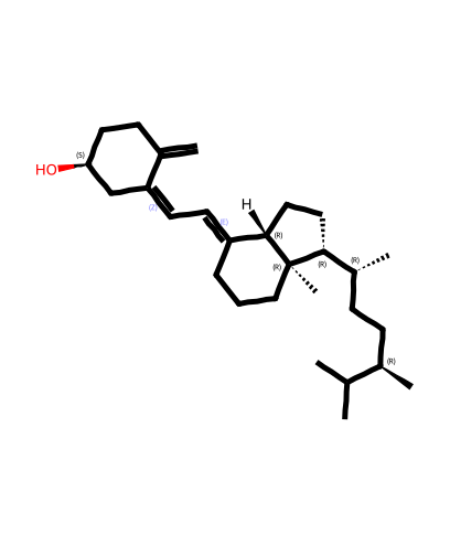 C=C1CC[C@H](O)C/C1=C/C=C1\CCC[C@]2(C)[C@@H]([C@H](C)CC[C@@H](C)C(C)C)CC[C@@H]12